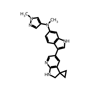 CN(c1ccc2c(-c3cnc4c(c3)C3(CC3)CN4)c[nH]c2c1)c1cnn(C)c1